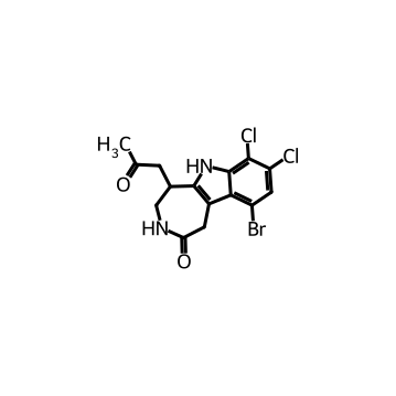 CC(=O)CC1CNC(=O)Cc2c1[nH]c1c(Cl)c(Cl)cc(Br)c21